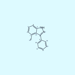 Fc1cccc2[nH]nc(-c3ccccc3)c12